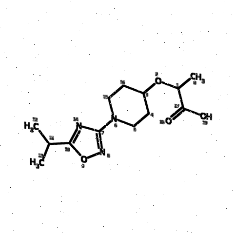 CC(OC1CCN(c2noc(C(C)C)n2)CC1)C(=O)O